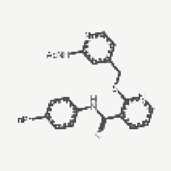 CCCc1ccc(NC(=O)c2cccnc2SCc2ccnc(NC(C)=O)c2)cc1